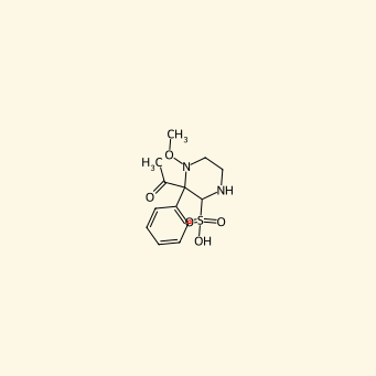 CON1CCNC(S(=O)(=O)O)C1(C(C)=O)c1ccccc1